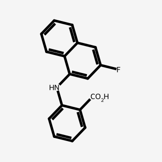 O=C(O)c1ccccc1Nc1cc(F)cc2ccccc12